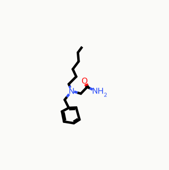 CCCCCCN(CC(N)=O)Cc1ccccc1